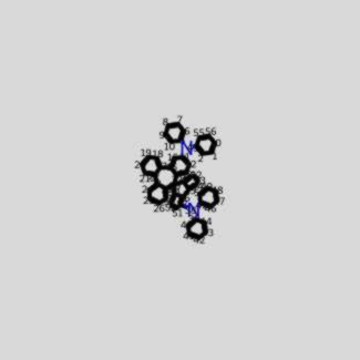 c1ccc(N(c2ccccc2)c2ccc3c(c2)-c2ccccc2-c2ccccc2C32c3ccccc3-c3c(N(c4ccccc4)c4ccccc4)cccc32)cc1